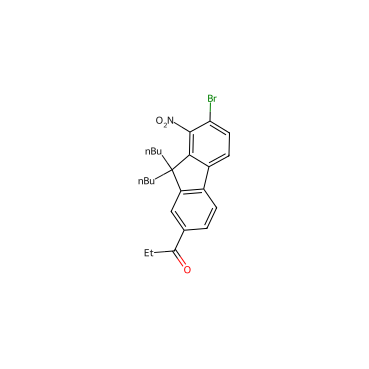 CCCCC1(CCCC)c2cc(C(=O)CC)ccc2-c2ccc(Br)c([N+](=O)[O-])c21